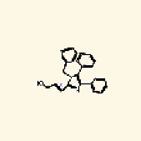 OC/C=C/c1nc(-c2ccccc2)c(-c2ccccc2)n1Cc1ccccc1